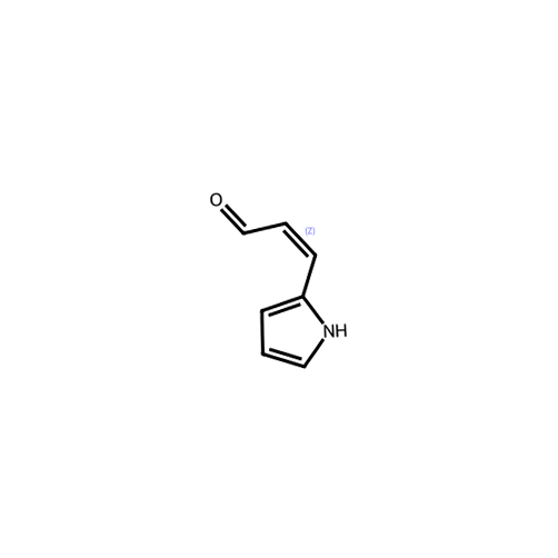 O=C/C=C\c1ccc[nH]1